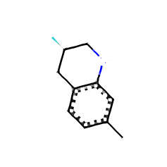 Cc1ccc2c(c1)NC[C@H](F)C2